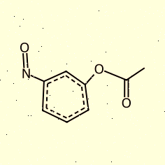 CC(=O)Oc1cccc(N=O)c1